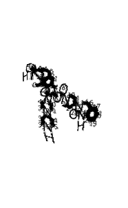 Cc1cc(C[C@@H](OC(=O)N2CCC(N3CCc4ccccc4NC3=O)CC2)C(=O)N2CCN(C3CCNCC3)CC2)cc2ccc(=O)[nH]c12